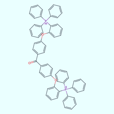 O=C(c1ccc(Oc2ccccc2[PH](c2ccccc2)(c2ccccc2)c2ccccc2)cc1)c1ccc(Oc2ccccc2[PH](c2ccccc2)(c2ccccc2)c2ccccc2)cc1